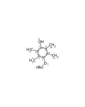 CCCCOc1c(C)c(C)c(O)c(C)c1C